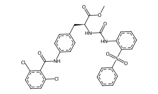 COC(=O)[C@H](Cc1ccc(NC(=O)c2c(Cl)cccc2Cl)cc1)NC(=O)Nc1ccccc1S(=O)(=O)c1ccccc1